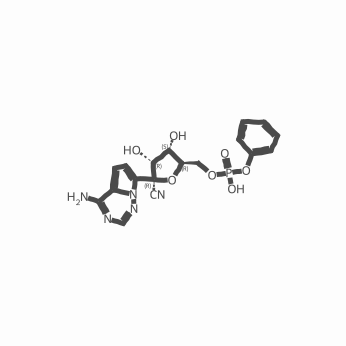 N#C[C@@]1(c2ccc3c(N)ncnn23)O[C@H](COP(=O)(O)Oc2ccccc2)[C@@H](O)[C@H]1O